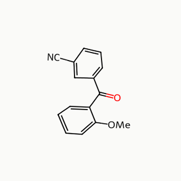 COc1ccccc1C(=O)c1cccc(C#N)c1